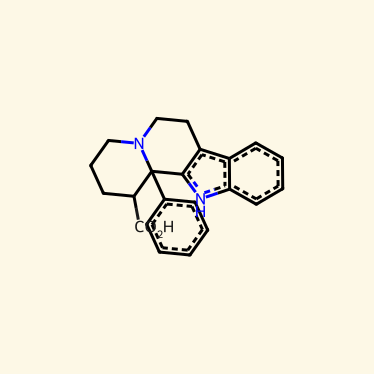 O=C(O)C1CCCN2CCc3c([nH]c4ccccc34)C12c1ccccc1